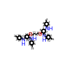 Cc1ccc(Nc2ccc(OCCCCOc3ccc(Nc4ccc(C)cc4)cc3Nc3ccc(C)cc3)c(Nc3ccc(C)cc3)c2)cc1